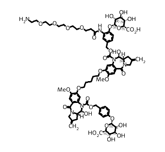 C=C1C[C@H]2[C@H](O)N(C(=O)OCc3ccc(O[C@@H]4O[C@H](C(=O)O)[C@@H](O)[C@H](O)[C@H]4O)cc3)c3cc(OCCCCCOc4cc5c(cc4OC)C(=O)N4CC(=C)C[C@H]4[C@H](O)N5C(=O)OCc4ccc(O[C@@H]5O[C@H](C(=O)O)[C@@H](O)[C@H](O)[C@H]5O)c(NC(=O)CCOCCOCCOCCOCCN)c4)c(OC)cc3C(=O)N2C1